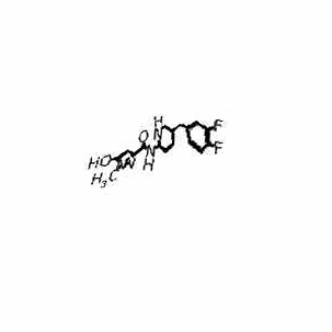 Cn1nc(C(=O)NC2CCC(Cc3ccc(F)c(F)c3)CN2)cc1O